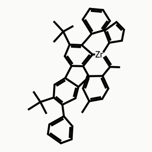 C/[C](c1ccc(C)cc1)=[Zr](\[C]1=CC=CC1)[c]1c2c(cc(C(C)(C)C)c1-c1ccccc1)-c1cc(C(C)(C)C)c(-c3ccccc3)cc1C2